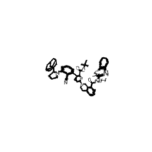 CC(C)(C)OC(=O)c1nc(N2CCc3cccc(C(=O)Nc4nc5ccccc5s4)c3C2)ccc1-c1cccc(N2CCCC2C23CC4CC(CC(C4)C2)C3)c1C#N